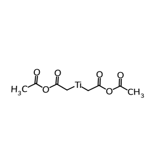 CC(=O)OC(=O)[CH2][Ti][CH2]C(=O)OC(C)=O